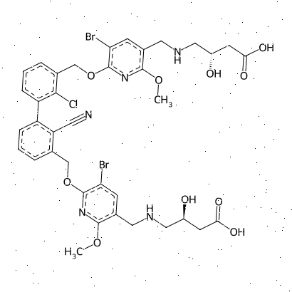 COc1nc(OCc2cccc(-c3cccc(COc4nc(OC)c(CNC[C@@H](O)CC(=O)O)cc4Br)c3C#N)c2Cl)c(Br)cc1CNC[C@@H](O)CC(=O)O